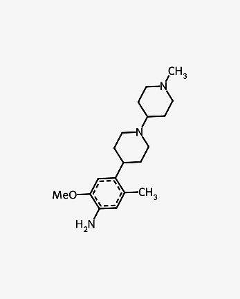 COc1cc(C2CCN(C3CCN(C)CC3)CC2)c(C)cc1N